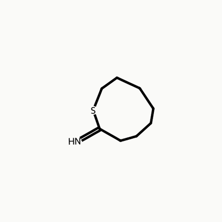 N=C1CCCCCCCS1